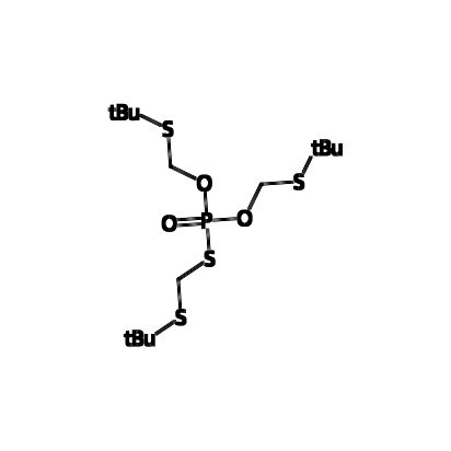 CC(C)(C)SCOP(=O)(OCSC(C)(C)C)SCSC(C)(C)C